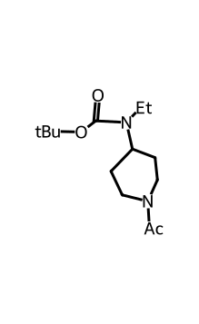 CCN(C(=O)OC(C)(C)C)C1CCN(C(C)=O)CC1